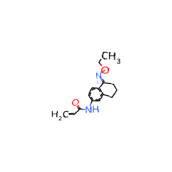 C=CC(=O)Nc1ccc2c(c1)CCC/C2=N\OCC